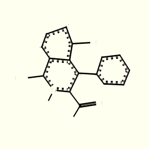 C=C(C)c1c(-c2ccccc2)c2c(Cl)cccc2c(C)[n+]1[O-]